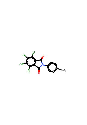 O=C(O)c1ccc(N2C(=O)c3c(Cl)c(Cl)c(Cl)c(Cl)c3C2=O)cc1